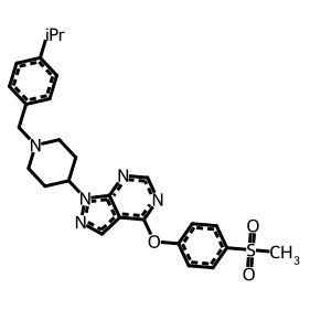 CC(C)c1ccc(CN2CCC(n3ncc4c(Oc5ccc(S(C)(=O)=O)cc5)ncnc43)CC2)cc1